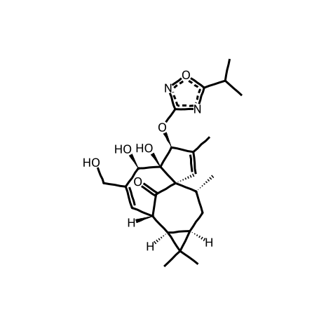 CC1=C[C@]23C(=O)[C@@H](C=C(CO)[C@@H](O)[C@]2(O)[C@H]1Oc1noc(C(C)C)n1)[C@H]1[C@@H](C[C@H]3C)C1(C)C